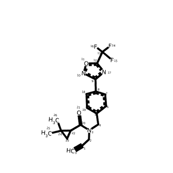 C#CCN(Cc1ccc(-c2noc(C(F)(F)F)n2)cc1)C(=O)C1CC1(C)C